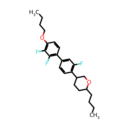 CCCCOc1ccc(-c2ccc(C3CCC(CCCC)OC3)c(F)c2)c(F)c1F